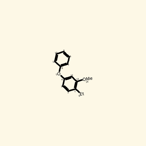 CCc1ccc(Oc2ccccc2)cc1OC